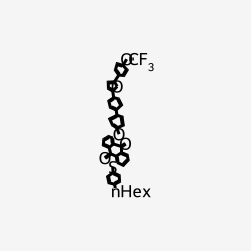 CCCCCCc1ccc(Sc2cccc3c2C(=O)c2cccc(Oc4ccc(-c5ccc(-c6ccc(-c7ccc(OC(F)(F)F)cc7)o6)cc5)cc4)c2C3=O)cc1